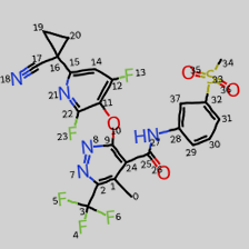 Cc1c(C(F)(F)F)nnc(Oc2c(F)cc(C3(C#N)CC3)nc2F)c1C(=O)Nc1cccc(S(C)(=O)=O)c1